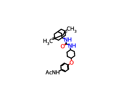 CC(=O)Nc1ccc(OC2CCC(NC(=O)NC34CC5C[C@@](C)(C3)C[C@](C)(C5)C4)CC2)cc1